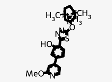 COc1cc(-c2ccc(-c3nnc(O[C@H]4C[C@]5(C)CC[C@](C)(C4)N5C)s3)c(O)c2)ccn1